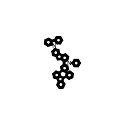 c1ccc(C2c3ccccc3-c3cccc(-c4ccc5c(c4)c4c6c(ccc4n5-c4ccccc4)-c4cc(-n5c7ccccc7c7ccccc75)ccc4C6)c32)cc1